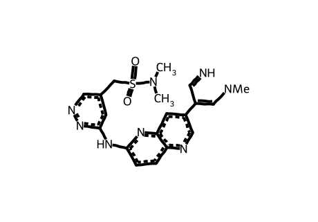 CN/C=C(\C=N)c1cnc2ccc(Nc3cc(CS(=O)(=O)N(C)C)cnn3)nc2c1